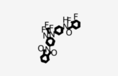 O=C(Nc1ccc(-n2c(C(F)(F)F)nc3cc(N4C(=O)c5ccccc5C4=O)ccc32)cc1)c1cccc(F)c1F